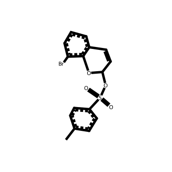 Cc1ccc(S(=O)(=O)OC2C=Cc3cccc(Br)c3O2)cc1